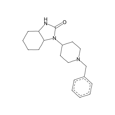 O=C1NC2CCCCC2N1C1CCN(Cc2ccccc2)CC1